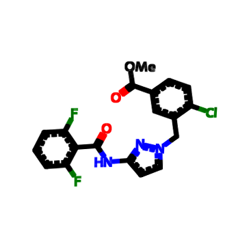 COC(=O)c1ccc(Cl)c(Cn2ccc(NC(=O)c3c(F)cccc3F)n2)c1